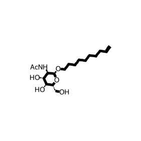 C=CCCCCCCCCO[C@H]1O[C@H](CO)[C@H](O)[C@H](O)[C@H]1NC(C)=O